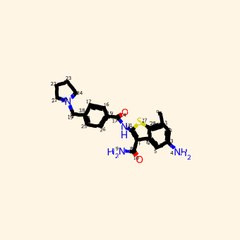 Cc1cc(N)cc2c(C(N)=O)c(NC(=O)c3ccc(CN4CCCC4)cc3)sc12